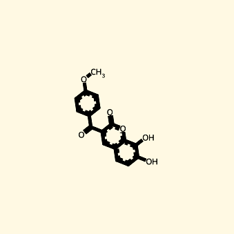 COc1ccc(C(=O)c2cc3ccc(O)c(O)c3oc2=O)cc1